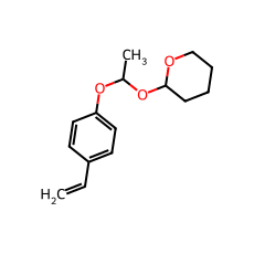 C=Cc1ccc(OC(C)OC2CCCCO2)cc1